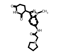 Cn1nc(C2CCC(=O)NC2=O)c2ccc(NC(=O)CN3CCCC3)cc21